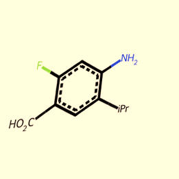 CC(C)c1cc(C(=O)O)c(F)cc1N